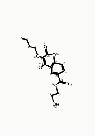 CCCCOc1c(O)c2cc(C(=O)OCCO)ccc2oc1=O